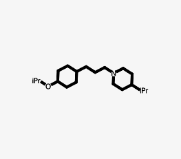 CC(C)OC1CCC(CCCN2CCC(C(C)C)CC2)CC1